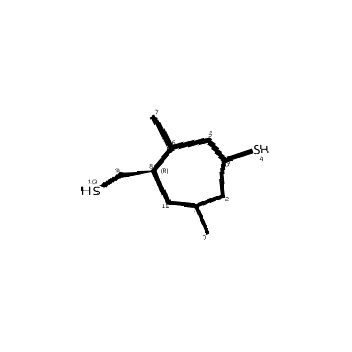 CC1CC(S)CC(C)[C@H](CS)C1